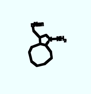 CCCCCCCCCCC1CN(N)C2CCCCCCCC12